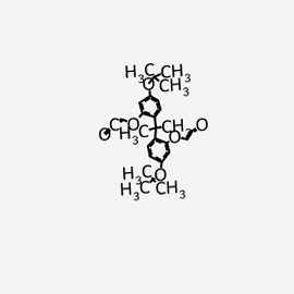 CC(C)(C)Oc1ccc(C(C)(C)c2ccc(OC(C)(C)C)cc2OC=C=O)c(OC=C=O)c1